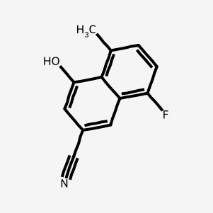 Cc1ccc(F)c2cc(C#N)cc(O)c12